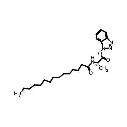 CCCCCCCCCCCCCCC(=O)N[C@@H](C)C(=O)On1nnc2ccccc21